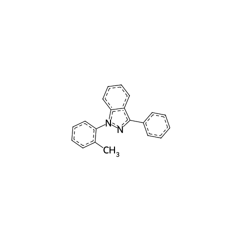 Cc1ccccc1-n1nc(-c2ccccc2)c2ccccc21